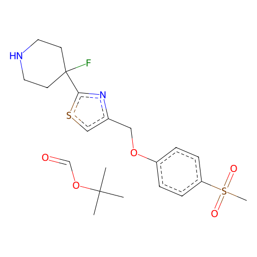 CC(C)(C)OC=O.CS(=O)(=O)c1ccc(OCc2csc(C3(F)CCNCC3)n2)cc1